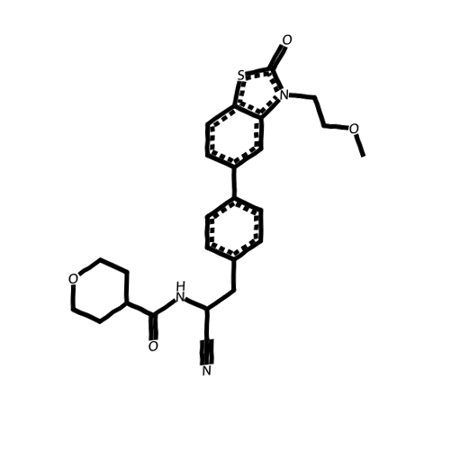 COCCn1c(=O)sc2ccc(-c3ccc(CC(C#N)NC(=O)C4CCOCC4)cc3)cc21